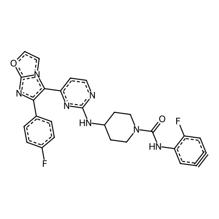 O=C(Nc1cc#ccc1F)N1CCC(Nc2nccc(-c3c(-c4ccc(F)cc4)nc4occn34)n2)CC1